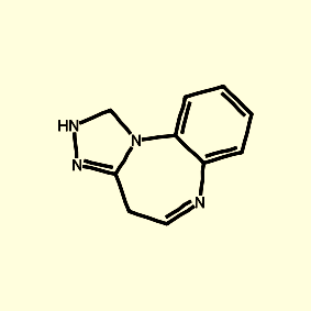 C1=Nc2ccccc2N2CNN=C2C1